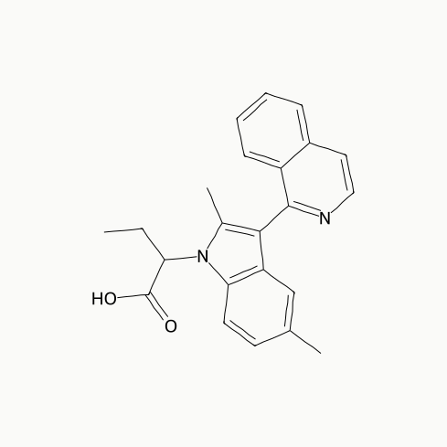 CCC(C(=O)O)n1c(C)c(-c2nccc3ccccc23)c2cc(C)ccc21